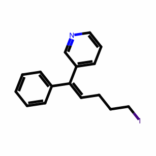 ICCC/C=C(/c1ccccc1)c1cccnc1